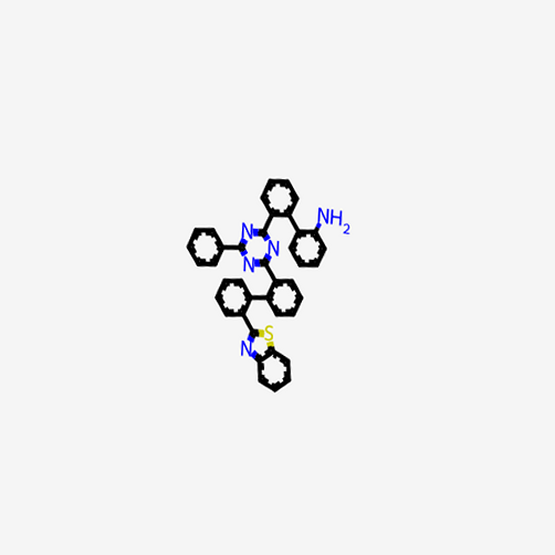 Nc1ccccc1-c1ccccc1-c1nc(-c2ccccc2)nc(-c2ccccc2-c2ccccc2-c2nc3ccccc3s2)n1